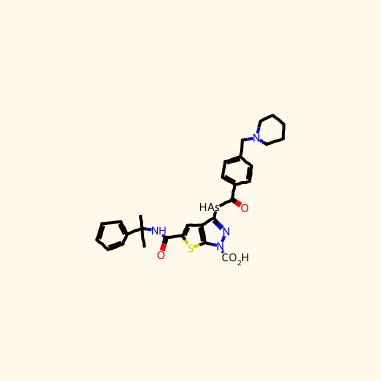 CC(C)(NC(=O)c1cc2c([AsH]C(=O)c3ccc(CN4CCCCC4)cc3)nn(C(=O)O)c2s1)c1ccccc1